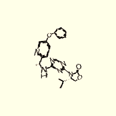 CC(C)[C@H]1COC(=O)N1c1ncnc(N[C@H](C)c2ccc(Oc3ccccc3)cn2)n1